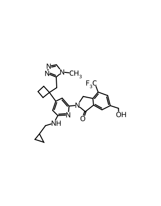 Cn1cnnc1CC1(c2cc(NCC3CC3)nc(N3Cc4c(cc(CO)cc4C(F)(F)F)C3=O)c2)CCC1